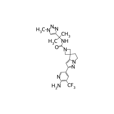 Cn1cc(C(C)(C)NC(=O)N2CC3(CCn4nc(-c5cnc(N)c(C(F)(F)F)c5)cc43)C2)nn1